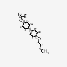 CCCCOc1ccc(-c2ccc(OC(F)F)cc2)cc1